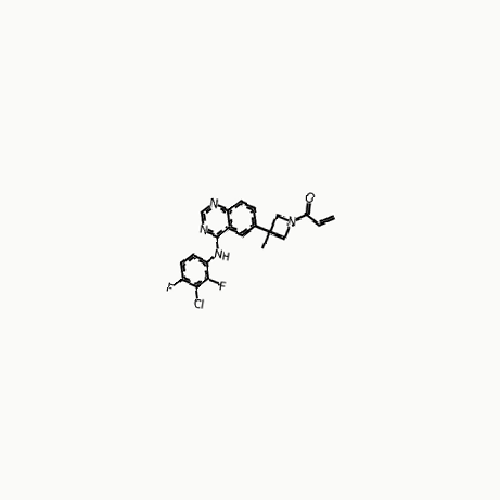 C=CC(=O)N1CC(C)(c2ccc3ncnc(Nc4ccc(F)c(Cl)c4F)c3c2)C1